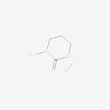 CCCN1CCCNC1=O.CN